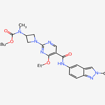 CCOc1nc(N2CC(N(C)C(=O)OC(C)(C)C)C2)ncc1C(=O)Nc1ccc2nn(C)cc2c1